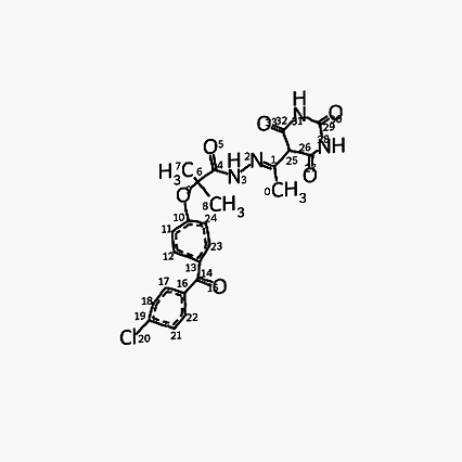 C/C(=N\NC(=O)C(C)(C)Oc1ccc(C(=O)c2ccc(Cl)cc2)cc1)C1C(=O)NC(=O)NC1=O